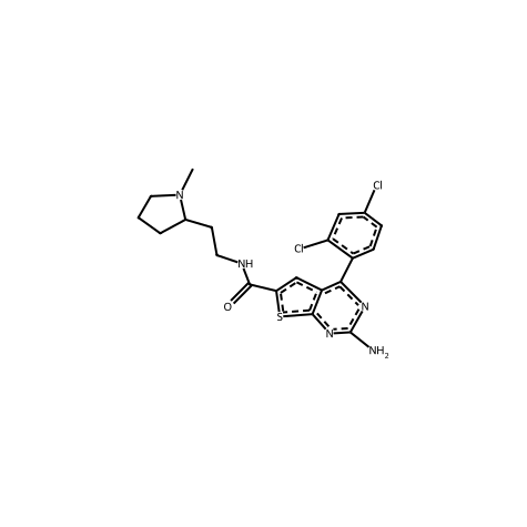 CN1CCCC1CCNC(=O)c1cc2c(-c3ccc(Cl)cc3Cl)nc(N)nc2s1